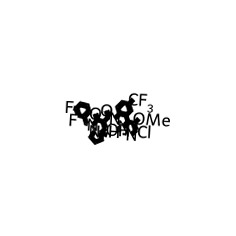 COc1c(Cl)ncnc1-c1cc(C(F)(F)F)ccc1NC(=O)C1=C(O)C2(C)CCCN2N(Cc2cccc(F)c2F)C1=O